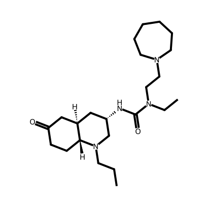 CCCN1C[C@@H](NC(=O)N(CC)CCN2CCCCCC2)C[C@@H]2CC(=O)CC[C@H]21